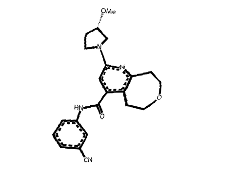 CO[C@H]1CCN(c2cc(C(=O)Nc3cccc(C#N)c3)c3c(n2)CCOCC3)C1